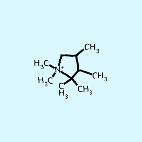 CC1C[N+](C)(C)C(C)(C)C1C